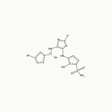 CC(C)c1csc([C@H](Nc2n[s+]([O-])nc2Nc2csc(S(N)(=O)=O)c2O)C(C)C)c1